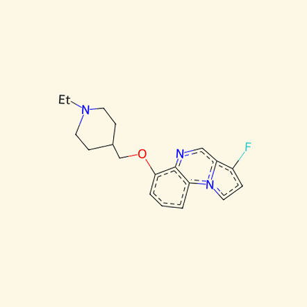 CCN1CCC(COc2cccc3c2ncc2c(F)ccn23)CC1